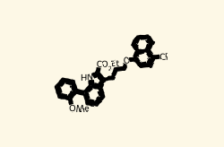 CCOC(=O)c1[nH]c2c(-c3ccccc3OC)cccc2c1CCCOc1ccc(Cl)c2ccccc12